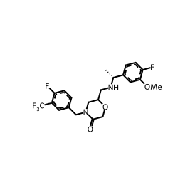 COc1cc([C@@H](C)NCC2CN(Cc3ccc(F)c(C(F)(F)F)c3)C(=O)CO2)ccc1F